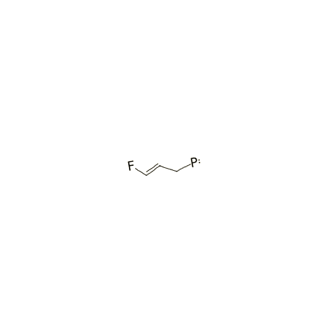 FC=CC[P]